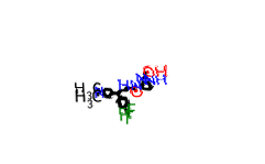 CN(C)c1ccc(/C(=C/C=C/C(=O)Nc2cccc3[nH]c(CO)nc23)c2ccc(C(F)(F)F)cc2)cc1